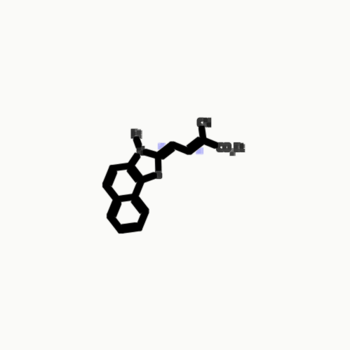 CCOC(=O)/C(C#N)=C/C=C1\Sc2c(ccc3ccccc23)N1CC